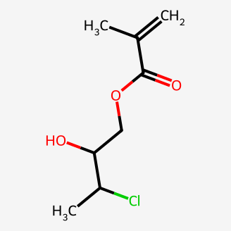 C=C(C)C(=O)OCC(O)C(C)Cl